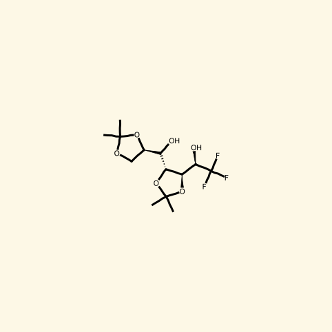 CC1(C)O[C@H]([C@@H](O)C(F)(F)F)[C@@H](C(O)[C@H]2COC(C)(C)O2)O1